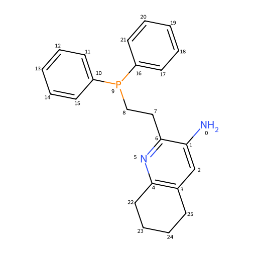 Nc1cc2c(nc1CCP(c1ccccc1)c1ccccc1)CCCC2